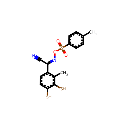 Cc1ccc(S(=O)(=O)ON=C(C#N)c2ccc(S)c(S)c2C)cc1